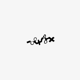 CCOC(=O)CC(C)(C)CCN(C)C(=O)CC(C)(C)C